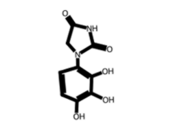 O=C1CN(c2ccc(O)c(O)c2O)C(=O)N1